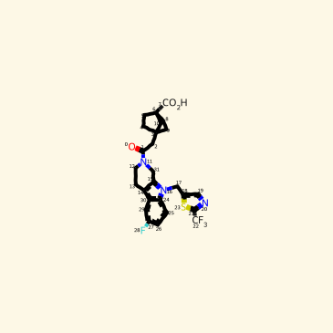 O=C(CC12CCC(C(=O)O)(CC1)C2)N1CCc2c(n(Cc3cnc(C(F)(F)F)s3)c3ccc(F)cc23)C1